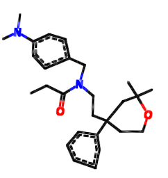 CCC(=O)N(CCC1(c2ccccc2)CCOC(C)(C)C1)Cc1ccc(N(C)C)cc1